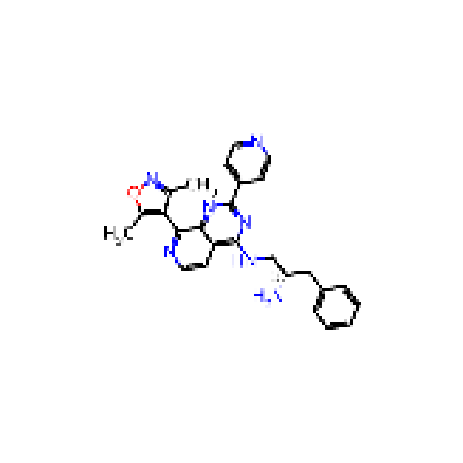 Cc1noc(C)c1-c1nccc2c(NC[C@@H](N)Cc3ccccc3)nc(-c3ccncc3)nc12